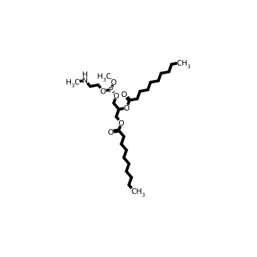 CCCCCCCCCC(=O)OCC(COP(OC)OCCNC)OC(=O)CCCCCCCCC